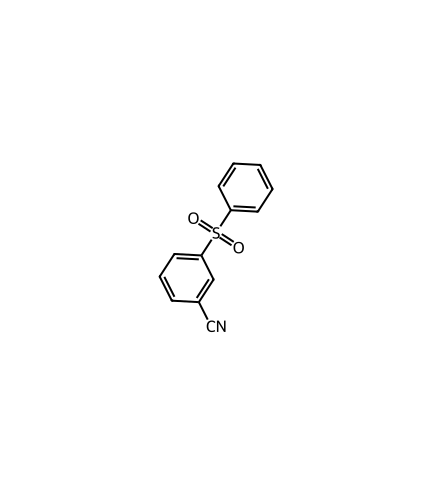 N#Cc1cccc(S(=O)(=O)c2ccccc2)c1